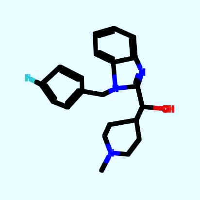 CN1CCC(C(O)c2nc3ccccc3n2Cc2ccc(F)cc2)CC1